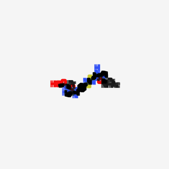 CC(=O)N[C@H](C(=O)N1CCCC1c1nc(-c2nc3sc(-c4ccc(-c5cnc([C@@H]6CCCN6C(=O)[C@@H](NC(=O)CO)C(C)C)[nH]5)cc4)nc3s2)c[nH]1)C(C)C